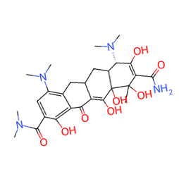 CN(C)C(=O)c1cc(N(C)C)c2c(c1O)C(=O)C1=C(O)C3(O)C(CC1C2)[C@H](N(C)C)C(O)=C(C(N)=O)C3(C)O